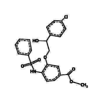 COC(=O)c1ccc(NS(=O)(=O)c2ccccc2)c(OCC(O)c2ccc(Cl)cc2)c1